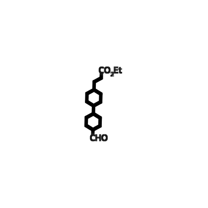 CCOC(=O)CCC1CCC(C2CCC(C=O)CC2)CC1